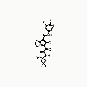 O=C(NC1(CO)CC(F)(F)C1)C(=O)c1c(Cl)c(C(=O)Nc2cnc(F)c(F)c2)c2n1CCC2